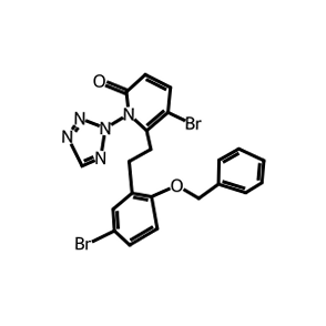 O=c1ccc(Br)c(CCc2cc(Br)ccc2OCc2ccccc2)n1-n1ncnn1